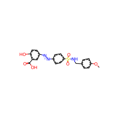 COc1ccc(CNS(=O)(=O)c2ccc(/N=N/c3ccc(O)c(C(=O)O)c3)cc2)cc1